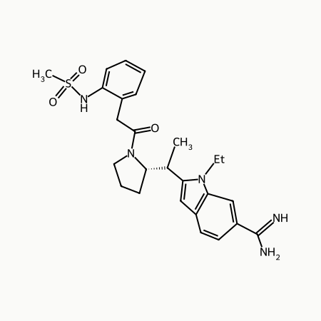 CCn1c(C(C)[C@@H]2CCCN2C(=O)Cc2ccccc2NS(C)(=O)=O)cc2ccc(C(=N)N)cc21